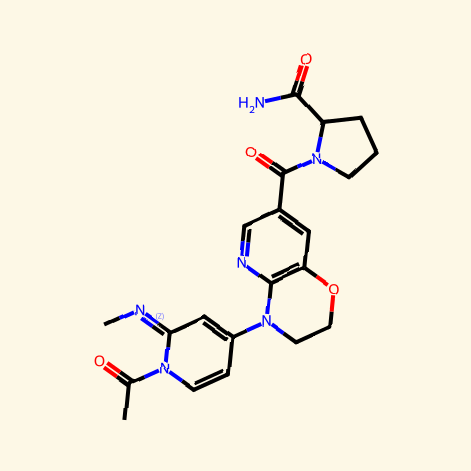 C/N=c1/cc(N2CCOc3cc(C(=O)N4CCCC4C(N)=O)cnc32)ccn1C(C)=O